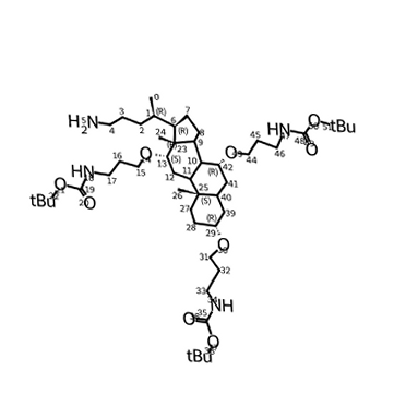 C[C@H](CCCN)[C@H]1CCC2C3C(C[C@H](OCCCNC(=O)OC(C)(C)C)[C@@]21C)[C@@]1(C)CC[C@@H](OCCCNC(=O)OC(C)(C)C)CC1C[C@H]3OCCCNC(=O)OC(C)(C)C